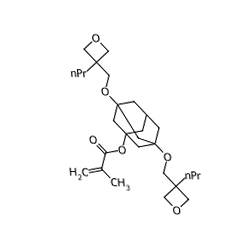 C=C(C)C(=O)OC12CC3CC(OCC4(CCC)COC4)(CC(OCC4(CCC)COC4)(C3)C1)C2